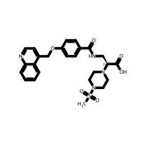 CS(=O)(=O)N1CCN([C@@H](CNC(=O)c2ccc(OCc3ccnc4ccccc34)cc2)C(=O)O)CC1